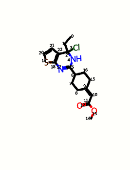 CCC1(Cl)NC(C2CCC(=CC(=O)OC)CC2)=Nc2sccc21